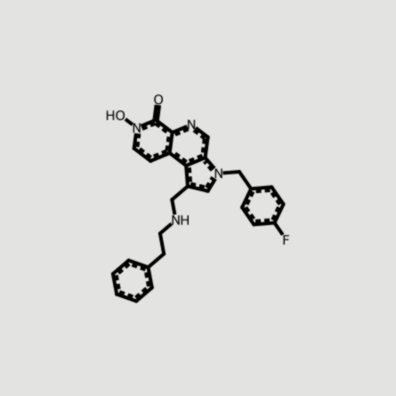 O=c1c2ncc3c(c(CNCCc4ccccc4)cn3Cc3ccc(F)cc3)c2ccn1O